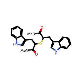 CNC(=O)C(Cc1c[nH]c2ccccc12)SC(Cc1c[nH]c2ccccc12)C(=O)NC